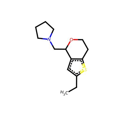 CCc1cc2c(s1)CCOC2CN1CCCC1